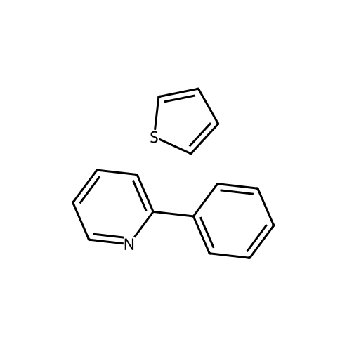 c1ccc(-c2ccccn2)cc1.c1ccsc1